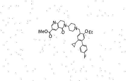 CCOc1cc(-c2ccc(F)cc2)c(C2CC2)cc1CN1CCC(N2CCc3ncc(C(=O)OC)cc3C2=O)CC1